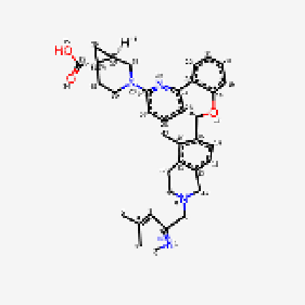 C/N=C(\C=C(C)C)CN1CCc2c(ccc(COc3ccccc3-c3cccc(N4CC[C@@]5(C(=O)O)C[C@H]5C4)n3)c2C)C1